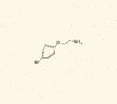 NCCOc1[c]cc(Br)cc1